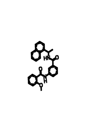 COc1ccccc1C(=O)Nc1cccc(C(=O)NC(C)c2cccc3ccccc23)c1